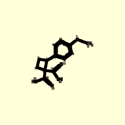 COc1ccc(C2CCC2(C(=O)O)C(=O)O)cc1